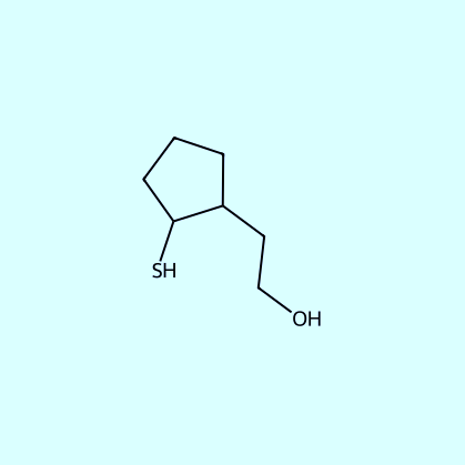 OCCC1CCCC1S